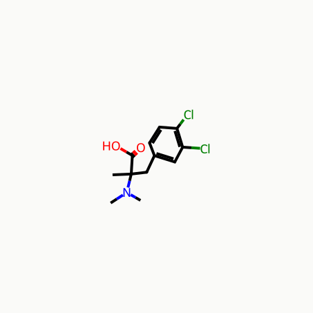 CN(C)C(C)(Cc1ccc(Cl)c(Cl)c1)C(=O)O